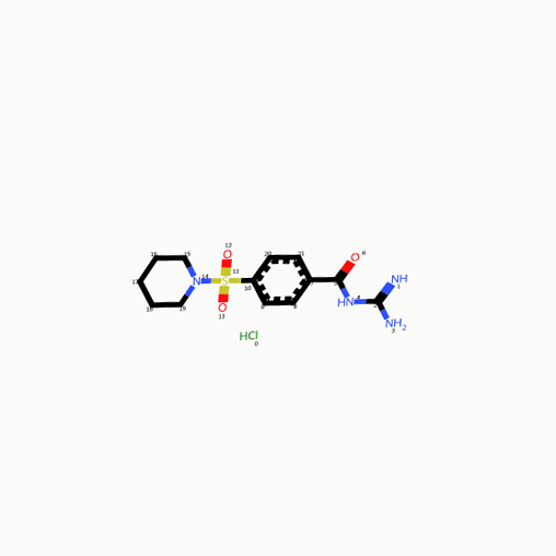 Cl.N=C(N)NC(=O)c1ccc(S(=O)(=O)N2CCCCC2)cc1